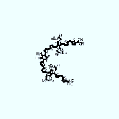 [C-]#[N+]C([N+]#[C-])=c1cc/c(=C\c2ccc(C3=C4C(=O)N(CC(CC)CCCC)C(c5ccc(-c6ccc(C7=C(F)C(F)=C(c8ccc(-c9ccc(C%10=C%11C(=O)N(CC(CC)CCCC)C(c%12ccc(/C=c%13\ccc(=C(C#N)C#N)s%13)s%12)=C%11C(=O)N%10CC(CC)CCCC)s9)s8)C(=N)C7=N)s6)s5)=C4C(=O)N3CC(CC)CCCC)s2)s1